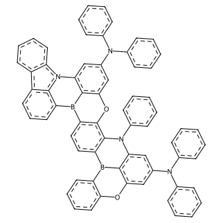 c1ccc(N(c2ccccc2)c2cc3c4c(c2)N(c2ccccc2)c2c(ccc5c2Oc2cc(N(c6ccccc6)c6ccccc6)cc6c2B5c2cccc5c7ccccc7n-6c25)B4c2ccccc2O3)cc1